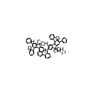 CC1(C)c2cc(N(c3ccc4c(c3)C(C)(C)c3cc(-c5ccccc5)c5oc6ccccc6c5c3-4)c3ccccc3-c3ccccc3)ccc2-c2c1cc(-c1ccccc1)c1oc3ccccc3c21